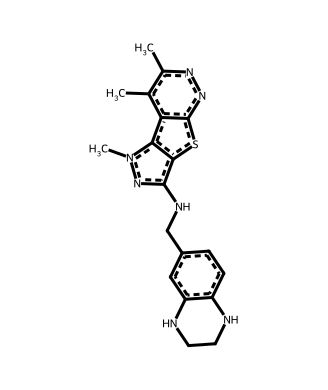 Cc1nnc2sc3c(NCc4ccc5c(c4)NCCN5)nn(C)c3c2c1C